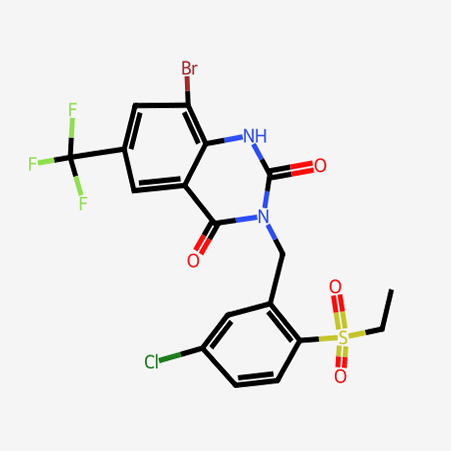 CCS(=O)(=O)c1ccc(Cl)cc1Cn1c(=O)[nH]c2c(Br)cc(C(F)(F)F)cc2c1=O